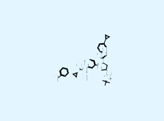 CC(C)(C)[Si](C)(C)O[C@H]1C[C@H](c2cn3cc(C4CC4)ccc3n2)N(c2ccnc(NC(=O)[C@H]3C[C@@H]3c3cccc(Cl)c3)c2)C1